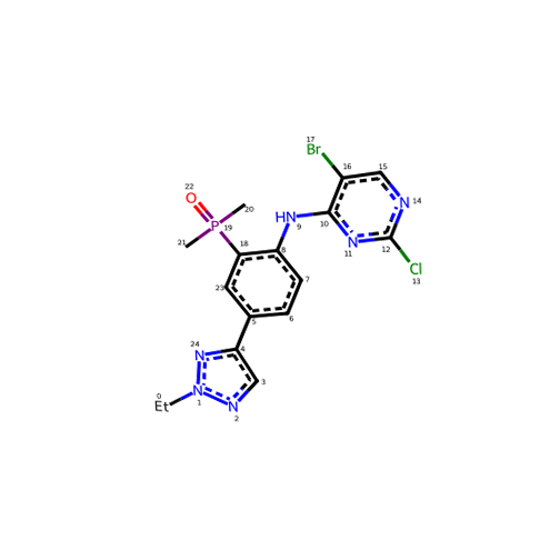 CCn1ncc(-c2ccc(Nc3nc(Cl)ncc3Br)c(P(C)(C)=O)c2)n1